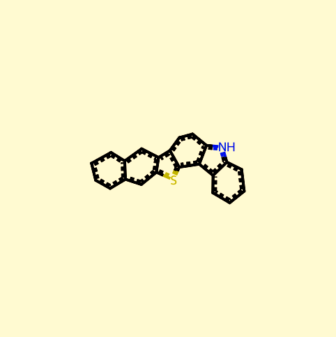 c1ccc2cc3c(cc2c1)sc1c3ccc2[nH]c3ccccc3c21